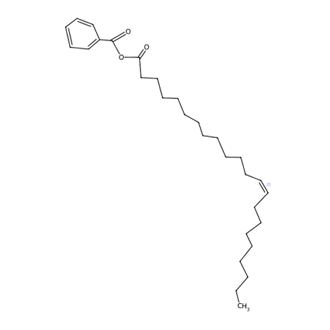 CCCCCCCC/C=C\CCCCCCCCCCCC(=O)OC(=O)c1ccccc1